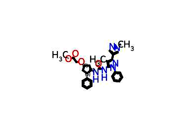 COC(=O)CO[C@@H]1C[C@@H](NC(=O)Nc2c(C)c(-c3cnn(C)c3)nn2-c2ccccc2)[C@H](c2ccccc2)C1